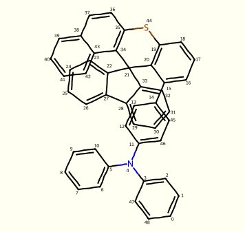 c1ccc(N(c2ccccc2)c2ccc(-c3cccc4c3C3(c5ccccc5-c5ccccc53)c3c(ccc5ccccc35)S4)cc2)cc1